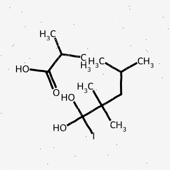 CC(C)C(=O)O.CC(C)CC(C)(C)C(O)(O)I